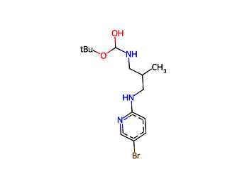 CC(CNc1ccc(Br)cn1)CNC(O)OC(C)(C)C